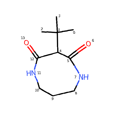 CC(C)(C)C1C(=O)NCCCNC1=O